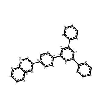 c1ccc(-c2nc(-c3ccccc3)nc(-c3ccc(-c4cnc5ccccc5c4)cc3)n2)cc1